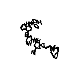 N#Cc1cc(Nc2cc(Oc3ccc(NC(=O)O)c4ccccc34)ccn2)cc(OCCN2CCOCC2)c1